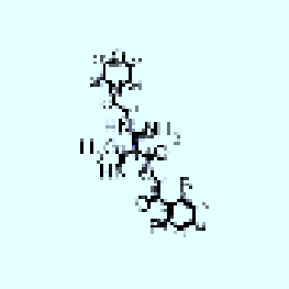 CC(=N)/C(C(=O)OCC(=O)c1c(F)cccc1F)=C(/N)NCCN1CCOCC1